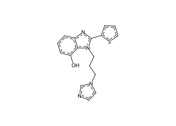 Oc1cccc2nc(-c3cccs3)n(CCCn3ccnc3)c12